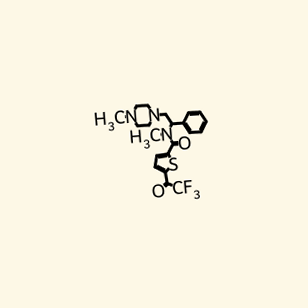 CN1CCN(CC(c2ccccc2)N(C)C(=O)c2ccc(C(=O)C(F)(F)F)s2)CC1